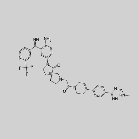 CN/C=N\C(=N)c1ccc(C2=CCN(C(=O)CN3CC[C@]4(CCN(c5ccc(N)c(C(=N)c6ccnc(C(F)(F)F)c6)c5)C4=O)C3)CC2)cc1